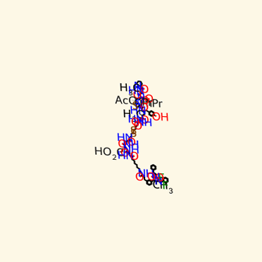 CCCC(=O)OCN(C(=O)CNC(=O)C1CCCCN1C)[C@H](C[C@@H](OC(C)=O)c1nc(C(=O)N[C@@H](Cc2ccc(O)cc2)C[C@H](C)C(=O)NNC(=O)OCCSSCCNC(=O)CNC(=O)[C@@H](CCC(=O)O)NC(=O)CNC(=O)CCCCCCCNC(=O)CCc2cccc(-c3c(C)n(Cc4c(F)cccc4F)c(=O)n(CCc4ccccc4)c3=O)c2)cs1)C(C)C